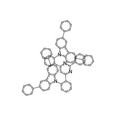 c1ccc(-c2ccc3c(c2)c2cc(-c4ccccc4)ccc2n3-c2ccccc2-c2cc(-c3ccccc3-n3c4ccc(-c5ccccc5)cc4c4cc(-c5ccccc5)ccc43)nc(-c3ccccc3)n2)cc1